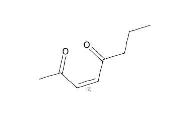 CCCC(=O)/C=C\C(C)=O